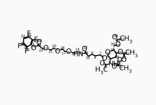 CC(=O)N[C@H]1[C@H](OCCCCC(=O)NCCOCCOCCOCC(=O)Oc2c(F)c(F)cc(F)c2F)O[C@H](COC(C)=O)[C@H](OC(C)=O)[C@@H]1OC(C)=O